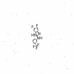 Fc1cc2nc(Nc3cccc(C(F)(F)F)c3)[nH]c2cc1F